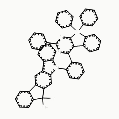 CC1(C)c2ccccc2-c2cc3c4ccccc4n(-c4ccccc4-c4nc(-c5ccccc5)nc5c4-c4ccccc4[Si]5(c4ccccc4)c4ccccc4)c3cc21